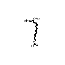 CCCCCCC(C/C=C\CCCCCCCCOC(=O)CC)OC